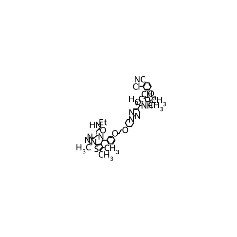 CCNC(=O)C[C@@H]1N=C(c2cccc(OCCOC3CCN(c4ncc(C(=O)NC5C(C)(C)C(Oc6ccc(C#N)c(Cl)c6)C5(C)C)cn4)CC3)c2)c2c(sc(C)c2C)-n2c(C)nnc21